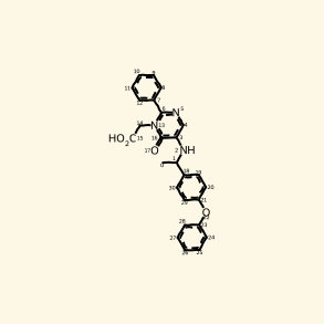 CC(Nc1cnc(-c2ccccc2)n(CC(=O)O)c1=O)c1ccc(Oc2ccccc2)cc1